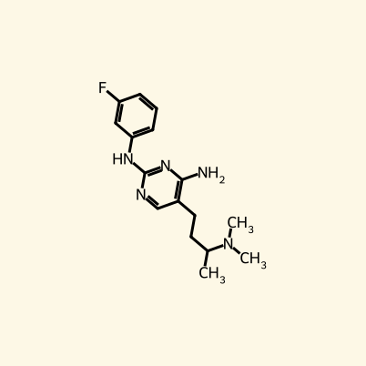 CC(CCc1cnc(Nc2cccc(F)c2)nc1N)N(C)C